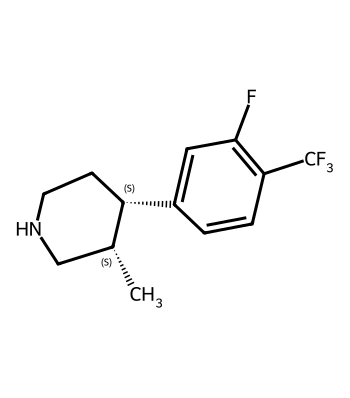 C[C@@H]1CNCC[C@@H]1c1ccc(C(F)(F)F)c(F)c1